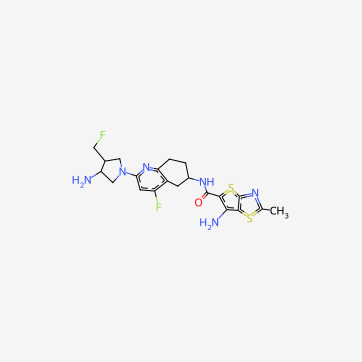 Cc1nc2sc(C(=O)NC3CCc4nc(N5CC(N)C(CF)C5)cc(F)c4C3)c(N)c2s1